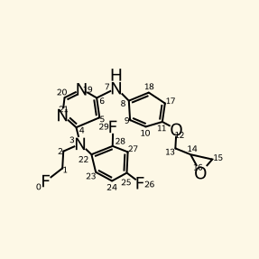 FCCN(c1cc(Nc2ccc(OCC3CO3)cc2)ncn1)c1ccc(F)cc1F